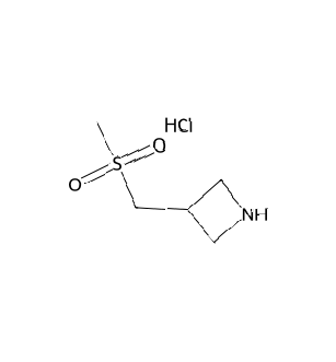 CS(=O)(=O)CC1CNC1.Cl